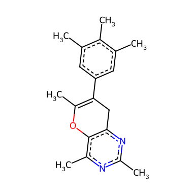 CC1=C(c2cc(C)c(C)c(C)c2)Cc2nc(C)nc(C)c2O1